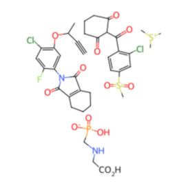 C#CC(C)Oc1cc(N2C(=O)C3=C(CCCC3)C2=O)c(F)cc1Cl.CS(=O)(=O)c1ccc(C(=O)C2C(=O)CCCC2=O)c(Cl)c1.C[S+](C)C.O=C(O)CNCP(=O)([O-])O